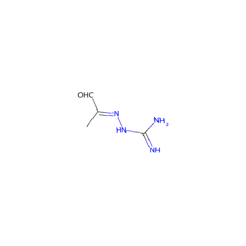 CC(C=O)=NNC(=N)N